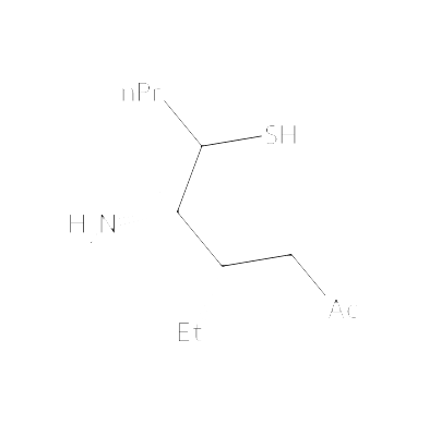 CCCC(S)[C@@H](N)[C@@H](CC)CC(C)=O